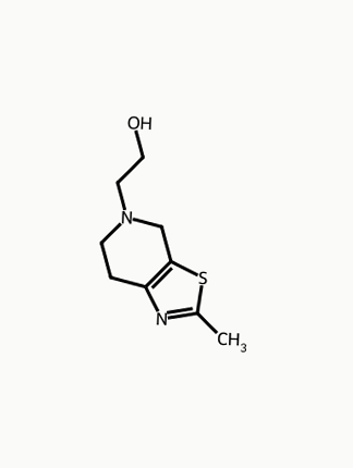 Cc1nc2c(s1)CN(CCO)CC2